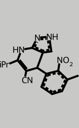 Cc1cccc(C2C(C#N)=C(C(C)C)Nc3n[nH]cc32)c1[N+](=O)[O-]